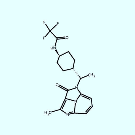 Cc1nc2cccc3n(C(C)[C@H]4CC[C@H](NC(=O)C(F)(F)F)CC4)c(=O)c1n23